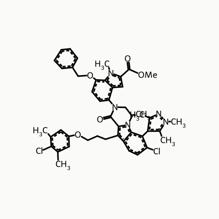 COC(=O)c1cc2c(N3C[C@@H](C)n4c(c(CCCOc5cc(C)c(Cl)c(C)c5)c5ccc(Cl)c(-c6c(C)nn(C)c6C)c54)C3=O)ccc(OCc3ccccc3)c2n1C